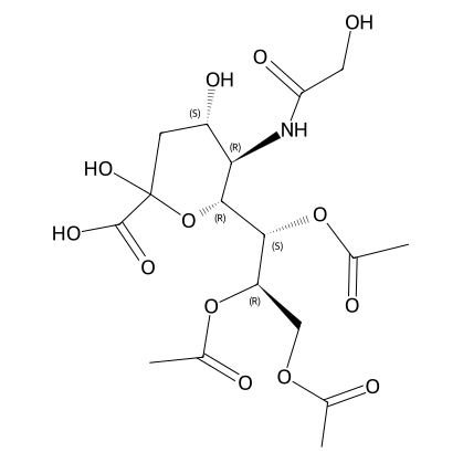 CC(=O)OC[C@@H](OC(C)=O)[C@@H](OC(C)=O)[C@@H]1OC(O)(C(=O)O)C[C@H](O)[C@H]1NC(=O)CO